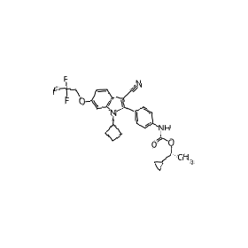 C[C@@H](OC(=O)Nc1ccc(-c2c(C#N)c3ccc(OCC(F)(F)F)cc3n2C2CCC2)cc1)C1CC1